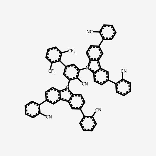 N#Cc1ccccc1-c1ccc2c(c1)c1cc(-c3ccccc3C#N)ccc1n2-c1cc(-c2c(C(F)(F)F)cccc2C(F)(F)F)cc(-n2c3ccc(-c4ccccc4C#N)cc3c3cc(-c4ccccc4C#N)ccc32)c1C#N